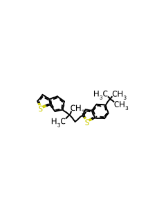 CC(C)(C)c1ccc2sc(CC(C)(C)c3ccc4ccsc4c3)cc2c1